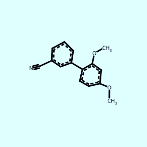 COc1ccc(-c2[c]ccc(C#N)c2)c(OC)c1